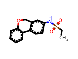 CCS(=O)(=O)Nc1ccc2c(c1)COc1ccccc1-2